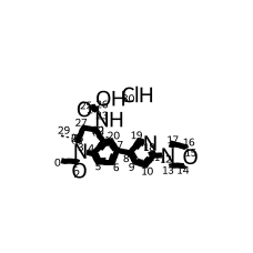 CC(=O)N1c2ccc(-c3ccc(N4CCOCC4)nc3)cc2[C@@H](NC(=O)O)C[C@H]1C.Cl